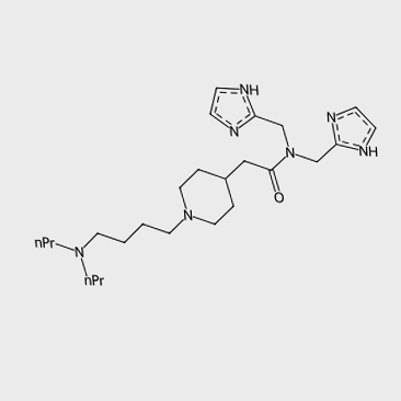 CCCN(CCC)CCCCN1CCC(CC(=O)N(Cc2ncc[nH]2)Cc2ncc[nH]2)CC1